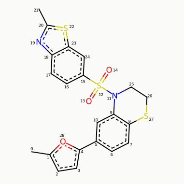 Cc1ccc(-c2ccc3c(c2)N(S(=O)(=O)c2ccc4nc(C)sc4c2)CCS3)o1